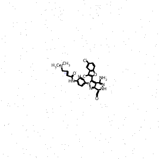 Cc1c(-c2c3c(nn2-c2ccc(NC(=O)/C=C/CN(C)C)cc2)C(=C=O)NN=C3N)oc2ccc(Cl)cc12